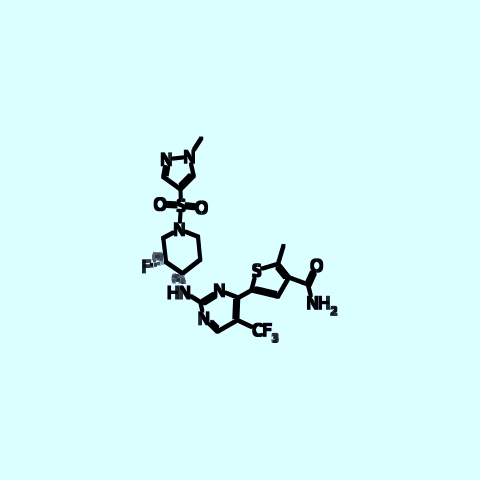 Cc1sc(-c2nc(N[C@H]3CCN(S(=O)(=O)c4cnn(C)c4)C[C@H]3F)ncc2C(F)(F)F)cc1C(N)=O